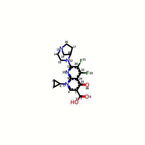 O=C(O)c1cn(C2CC2)c2nc(N3CCN4CCC3C4)c(F)c(F)c2c1=O